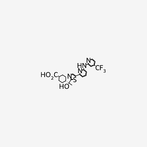 CC(O)(c1ncc(-c2cccc(Nc3cc(C(F)(F)F)ccn3)n2)s1)[C@H]1CC[C@H](C(=O)O)CC1